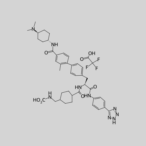 Cc1cc(C(=O)N[C@H]2CC[C@H](N(C)C)CC2)ccc1-c1ccc(C[C@H](NC(=O)C2CCC(CNC(=O)O)CC2)C(=O)Nc2ccc(-c3nn[nH]n3)cc2)cc1.O=C(O)C(F)(F)F